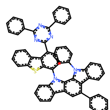 c1ccc(-c2nc(-c3ccccc3)nc(-c3ccc(-n4c5ccccc5c5cc(-c6ccccc6)c6c7ccccc7n(-c7ccccc7)c6c54)c4sc5ccccc5c34)n2)cc1